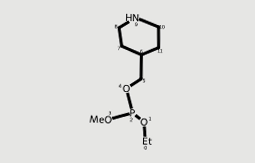 CCOP(OC)OCC1CCNCC1